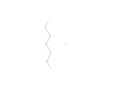 CC(C)(C)CCCCCC(=O)O.[BiH3].[Zn]